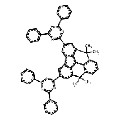 CC1(C)c2cccc3c2-n2c4c1cc(-c1nc(-c5ccccc5)nc(-c5ccccc5)n1)cc4c1cc(-c4nc(-c5ccccc5)nc(-c5ccccc5)n4)cc(c12)C3(C)C